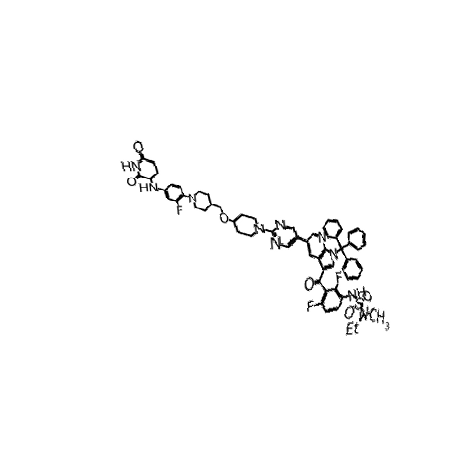 CCN(C)S(=O)(=O)Nc1ccc(F)c(C(=O)c2cn(C(c3ccccc3)(c3ccccc3)c3ccccc3)c3ncc(-c4cnc(N5CCC(OCC6CCN(c7ccc(NC8CCC(=O)NC8=O)cc7F)CC6)CC5)nc4)cc23)c1F